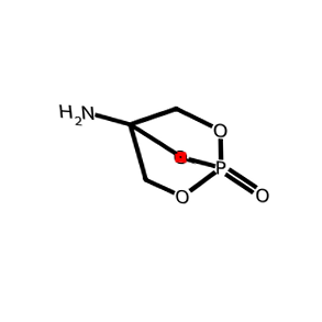 NC12COP(=O)(OC1)OC2